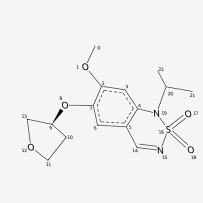 COc1cc2c(cc1O[C@H]1CCOC1)C=NS(=O)(=O)N2C(C)C